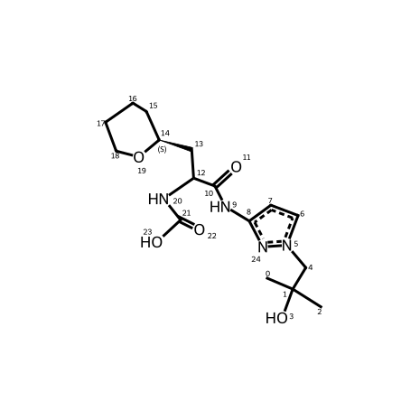 CC(C)(O)Cn1ccc(NC(=O)C(C[C@@H]2CCCCO2)NC(=O)O)n1